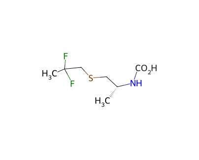 C[C@H](CSCC(C)(F)F)NC(=O)O